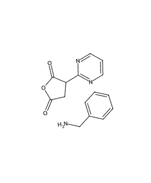 NCc1ccccc1.O=C1CC(c2ncccn2)C(=O)O1